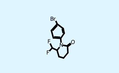 O=C1CCCC(C(F)F)N1c1ccc(Br)cc1